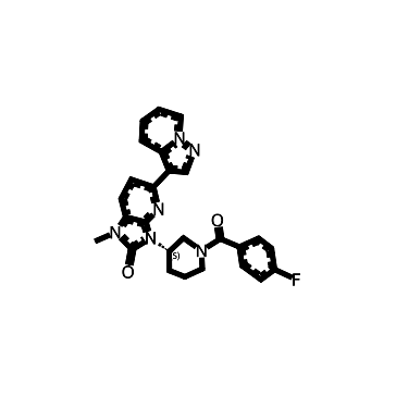 Cn1c(=O)n([C@H]2CCCN(C(=O)c3ccc(F)cc3)C2)c2nc(-c3cnn4ccccc34)ccc21